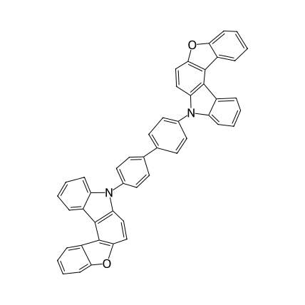 c1ccc2c(c1)oc1ccc3c(c4ccccc4n3-c3ccc(-c4ccc(-n5c6ccccc6c6c7c(ccc65)oc5ccccc57)cc4)cc3)c12